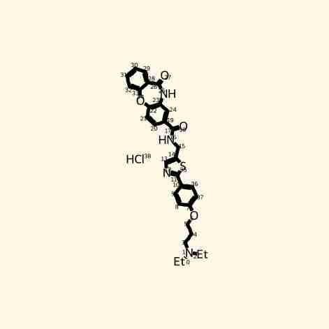 CCN(CC)CCCOc1ccc(-c2ncc(CNC(=O)c3ccc4c(c3)NC(=O)c3ccccc3O4)s2)cc1.Cl